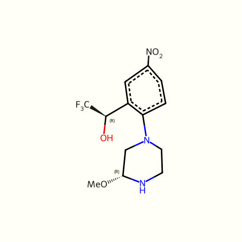 CO[C@@H]1CN(c2ccc([N+](=O)[O-])cc2[C@@H](O)C(F)(F)F)CCN1